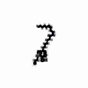 CCCCC/C=C\C/C=C\CCCCCCCC(=O)N[C@@H](CC[C]=O)C(=O)O